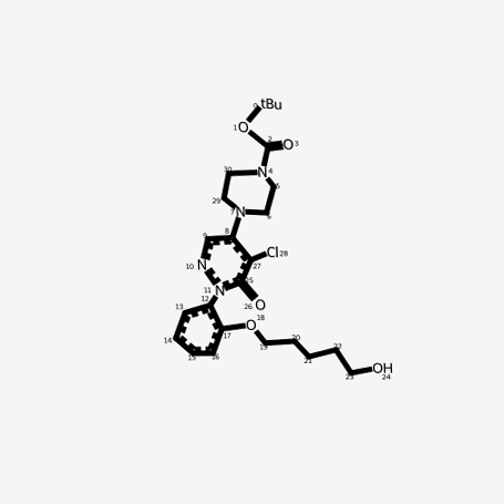 CC(C)(C)OC(=O)N1CCN(c2cnn(-c3ccccc3OCCCCCO)c(=O)c2Cl)CC1